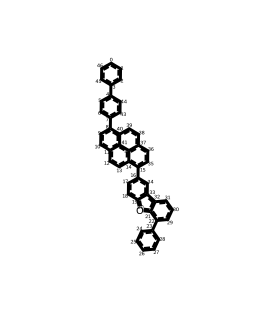 c1ccc(-c2ccc(-c3ccc4ccc5c(-c6ccc7oc8c(-c9ccccc9)cccc8c7c6)ccc6ccc3c4c65)cc2)cc1